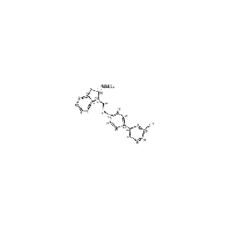 CC(=O)N[C@H]1Cc2ccccc2[C@@H]1C=Cc1ccc(-c2cccc(F)c2)cn1